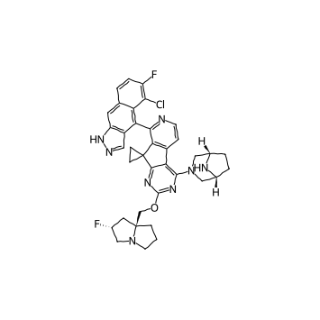 Fc1ccc2cc3[nH]ncc3c(-c3nccc4c3C3(CC3)c3nc(OC[C@@]56CCCN5C[C@H](F)C6)nc(N5C[C@H]6CC[C@@H](C5)N6)c3-4)c2c1Cl